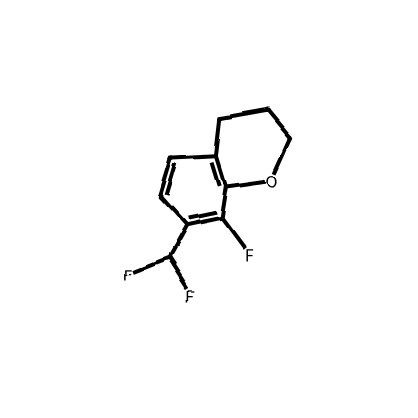 Fc1c(C(F)F)ccc2c1OCCC2